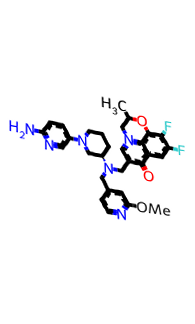 COc1cc(CN(Cc2cn3c4c(c(F)c(F)cc4c2=O)OC(C)C3)[C@H]2CCCN(c3ccc(N)nc3)C2)ccn1